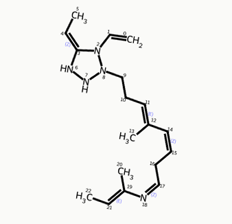 C=CN1/C(=C\C)NNN1CC/C=C(C)/C=C\C/C=N\C(C)=C\C